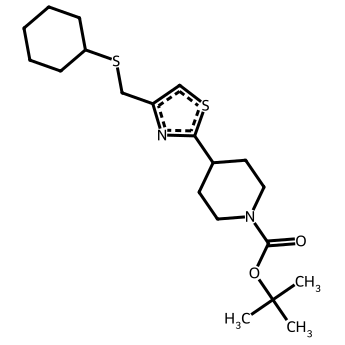 CC(C)(C)OC(=O)N1CCC(c2nc(CSC3CCCCC3)cs2)CC1